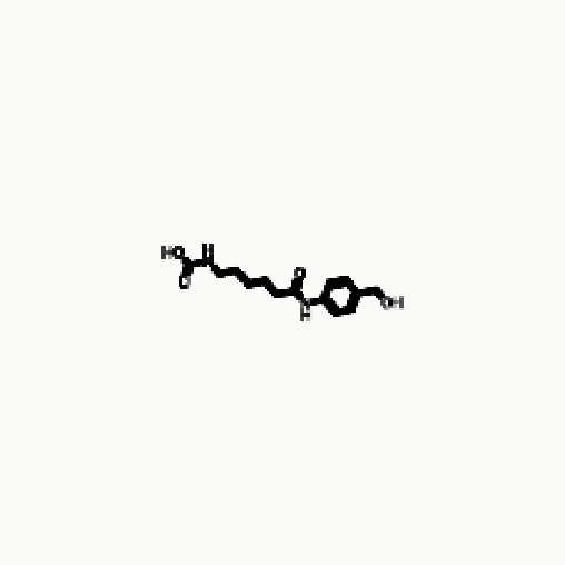 O=C(O)NCCCCCC(=O)Nc1ccc(CO)cc1